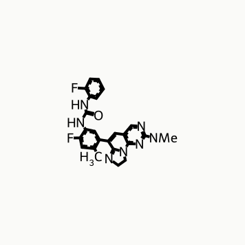 CNc1ncc2c(n1)N1CCN=C1C(c1cc(NC(=O)Nc3ccccc3F)c(F)cc1C)=C2